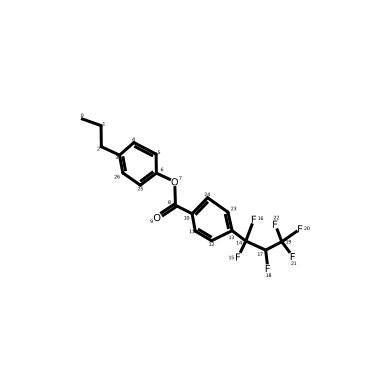 CCCc1ccc(OC(=O)c2ccc(C(F)(F)C(F)C(F)(F)F)cc2)cc1